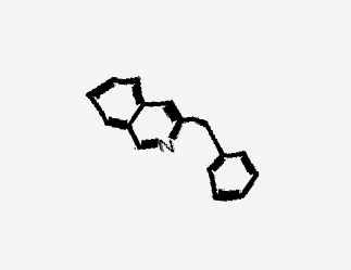 [c]1nc(Cc2ccccc2)cc2ccccc12